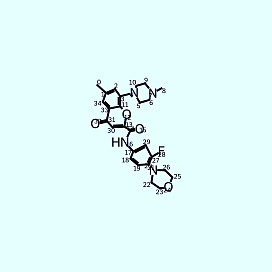 Cc1cc(N2CCN(C)CC2)c2oc(C(=O)Nc3ccc(N4CCOCC4)c(F)c3)cc(=O)c2c1